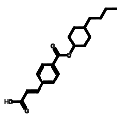 CCCCC1CCC(OC(=O)c2ccc(/C=C/C(=O)O)cc2)CC1